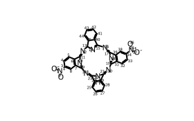 O=[N+]([O-])c1ccc2c(c1)C1=NC/2=N\C2N=C(/N=C3N=C(/N=c4\[nH]/c(c5ccccc45)=N\1)c1ccc([N+](=O)[O-])cc1\3)c1ccccc12